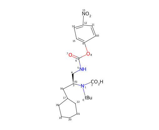 CC(C)(C)N(C(=O)O)[C@H](CNC(=O)Oc1ccc([N+](=O)[O-])cc1)CC1CCCCC1